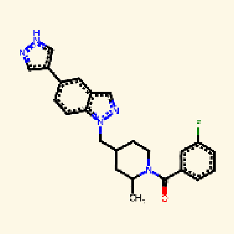 CC1CC(Cn2ncc3cc(-c4cn[nH]c4)ccc32)CCN1C(=O)c1cccc(F)c1